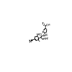 Cc1cc(C#N)cc(C)c1/C(C=N)=C(\O)Nc1ccc(C(=O)O)cn1